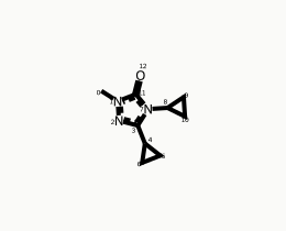 Cn1nc(C2CC2)n(C2CC2)c1=O